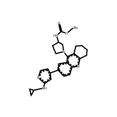 CC(C)(C)OC(=O)NC1CCN(c2c3c(nc4ccc(-c5ccnc(NC6CC6)c5)cc24)CCCC3)C1